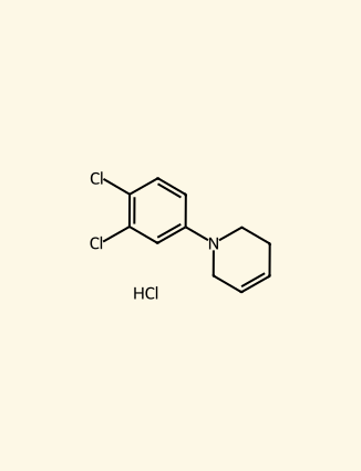 Cl.Clc1ccc(N2CC=CCC2)cc1Cl